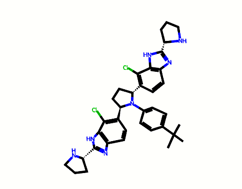 CC(C)(C)c1ccc(N2[C@@H](c3ccc4nc([C@@H]5CCCN5)[nH]c4c3Cl)CC[C@@H]2c2ccc3nc([C@@H]4CCCN4)[nH]c3c2Cl)cc1